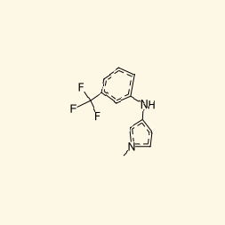 Cn1ccc(Nc2cccc(C(F)(F)F)c2)c1